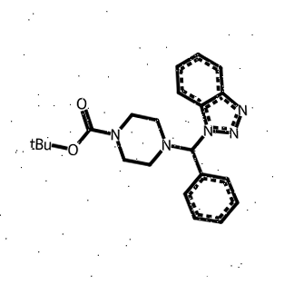 CC(C)(C)OC(=O)N1CCN(C(c2ccccc2)n2nnc3ccccc32)CC1